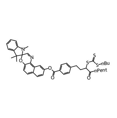 CCCCCC(=O)C(CCc1ccc(C(=O)Oc2ccc3ccc4c(c3c2)N=CC2(O4)N(C)c3ccccc3C2(C)C)cc1)SC(=S)SCCCC